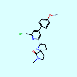 Cc1cc(-c2ccc(OC(C)C)cc2)cc([C@@H]2CC[C@@]3(CCN(C)C3=O)N2)n1.Cl